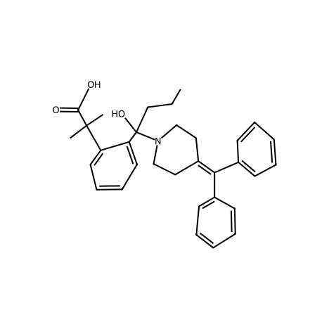 CCCC(O)(c1ccccc1C(C)(C)C(=O)O)N1CCC(=C(c2ccccc2)c2ccccc2)CC1